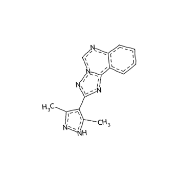 Cc1n[nH]c(C)c1-c1nc2c3ccccc3ncn2n1